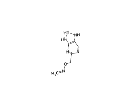 C=NOCc1ccc2c(n1)NNN2